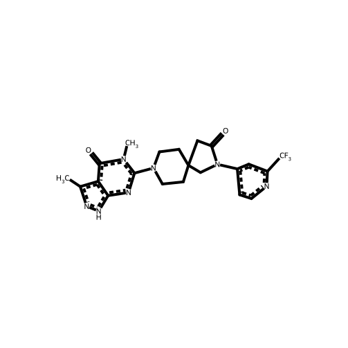 Cc1n[nH]c2nc(N3CCC4(CC3)CC(=O)N(c3ccnc(C(F)(F)F)c3)C4)n(C)c(=O)c12